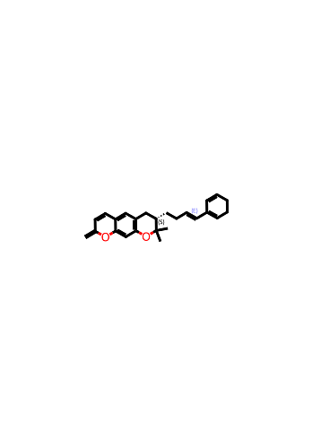 C=C1C=Cc2cc3c(cc2O1)OC(C)(C)[C@@H](CC/C=C/C1=CCCC=C1)C3